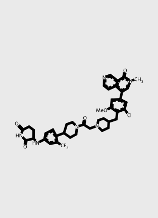 COc1cc(-c2cn(C)c(=O)c3cnccc23)cc(Cl)c1CC1CCN(CC(=O)N2CCC(c3ccc(NC4CCC(=O)NC4=O)cc3C(F)(F)F)CC2)CC1